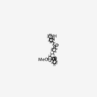 COC(=O)CC(CCC1CCN(C(=O)CCc2ccc3c(n2)NCCC3)CC1)c1cnc2ccccc2c1